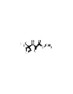 COC(=O)C(=O)NC1(C)COC1